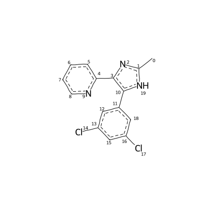 Cc1nc(-c2ccccn2)c(-c2cc(Cl)cc(Cl)c2)[nH]1